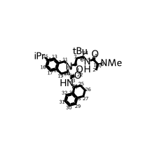 CN[C@@H](C)C(=O)N[C@H](CC(=O)N1Cc2cc(C(C)C)ccc2C[C@H]1C(=O)N[C@@H]1CCCc2ccccc21)C(C)(C)C